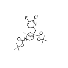 C[C@@H]1C[C@](Cc2ccc(F)c(Cl)n2)(C(=O)OC(C)(C)C)CCN1C(=O)OC(C)(C)C